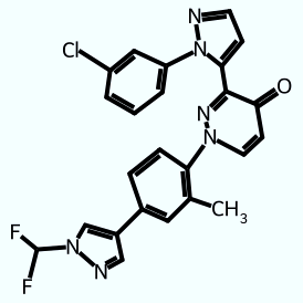 Cc1cc(-c2cnn(C(F)F)c2)ccc1-n1ccc(=O)c(-c2ccnn2-c2cccc(Cl)c2)n1